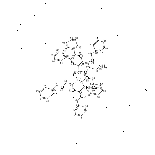 CC(=O)NC1C(OCc2ccccc2)OC(COCc2ccccc2)C(OC2OC(CN)C(OCc3ccccc3)C(OCc3ccccc3)C2OCc2ccccc2)C1OCc1ccccc1